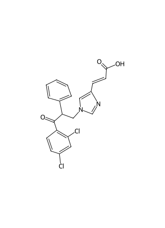 O=C(O)C=Cc1cn(CC(C(=O)c2ccc(Cl)cc2Cl)c2ccccc2)cn1